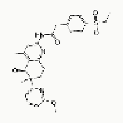 CCS(=O)(=O)c1ccc(CC(=O)Nc2cc(C)c3c(n2)CCC(C)(c2cccc(OC)n2)C3=O)cc1